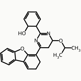 CC(C)OC1CC(C2=c3oc4ccccc4c3=CCC2)=NC(C2C=CC=CC2O)=N1